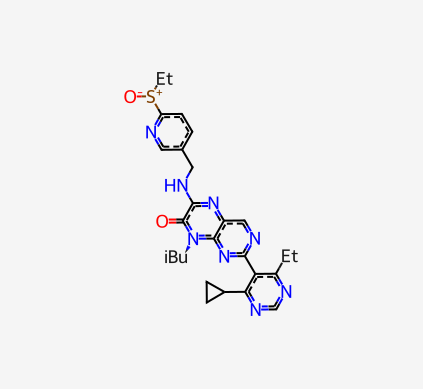 CCc1ncnc(C2CC2)c1-c1ncc2nc(NCc3ccc([S+]([O-])CC)nc3)c(=O)n([C@H](C)CC)c2n1